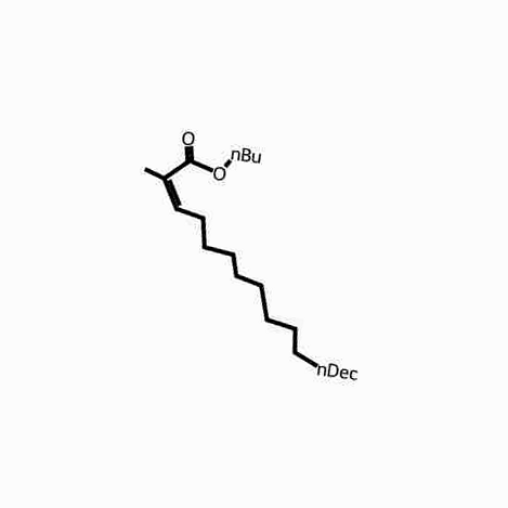 CCCCCCCCCCCCCCCCCCC=C(C)C(=O)OCCCC